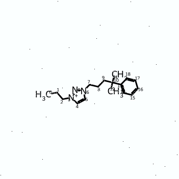 CCC[n+]1ccn(CCCC(C)(C)c2ccccc2)n1